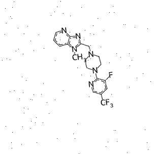 Cn1c(CN2CCN(c3ncc(C(F)(F)F)cc3F)CC2)nc2ncccc21